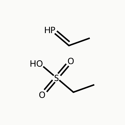 CC=P.CCS(=O)(=O)O